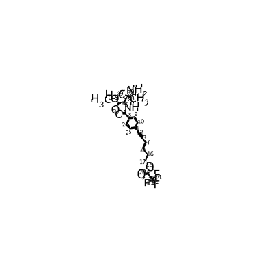 COC(=O)[C@@H](NC(=O)c1ccc(C#C/C=C/CCOC(=O)C(F)(F)F)cc1)C(C)(C)N